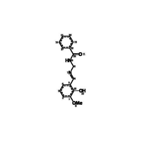 COc1cccc(/C=N/CNC(=O)c2ccccc2)c1O